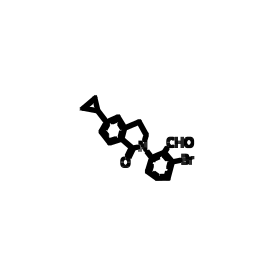 O=Cc1c(Br)cccc1N1CCc2cc(C3CC3)ccc2C1=O